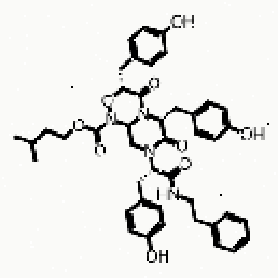 CC(C)CCOC(=O)N1O[C@H](Cc2ccc(O)cc2)C(=O)N2C1CN([C@@H](Cc1ccc(O)cc1)C(=O)NCCc1ccccc1)C(=O)[C@@H]2Cc1ccc(O)cc1